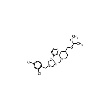 COC(C)OCC1CCN(C[C@H]2CN(Cc3ccc(Cl)cc3Cl)C[C@@H]2c2ccsc2)CC1